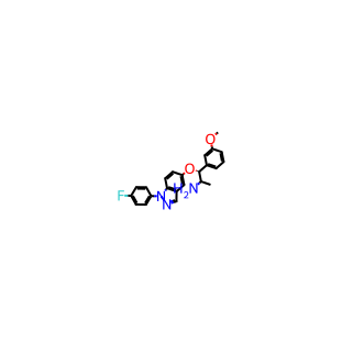 COc1cccc([C@@H](Oc2ccc3c(cnn3-c3ccc(F)cc3)c2)C(C)N)c1